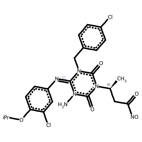 CC(C)Oc1ccc(/N=c2\n(N)c(=O)n([C@@H](C)CC(=O)N=O)c(=O)n2Cc2ccc(Cl)cc2)cc1Cl